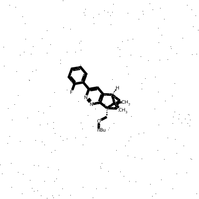 CCCCOC[C@]12CC[C@H](c3cc(-c4ccccc4F)nnc31)C2(C)C